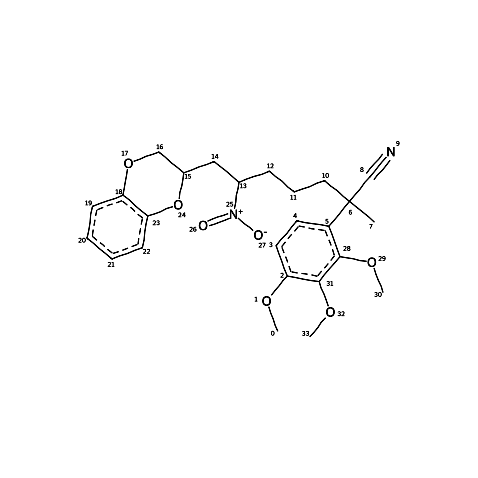 COc1ccc(C(C)(C#N)CCCC(CC2COc3ccccc3O2)[N+](=O)[O-])c(OC)c1OC